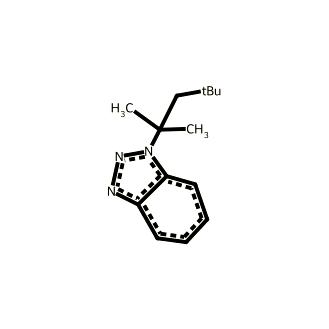 CC(C)(C)CC(C)(C)n1nnc2ccccc21